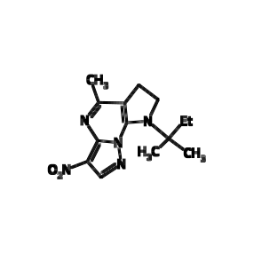 CCC(C)(C)N1CCc2c(C)nc3c([N+](=O)[O-])cnn3c21